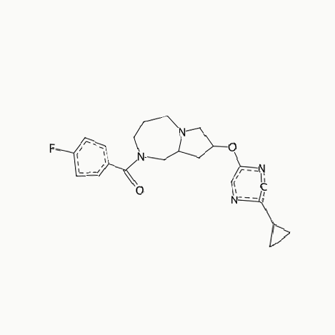 O=C(c1ccc(F)cc1)N1CCCN2CC(Oc3cnc(C4CC4)cn3)CC2C1